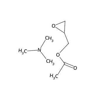 CC(=O)OCC1CO1.CN(C)C